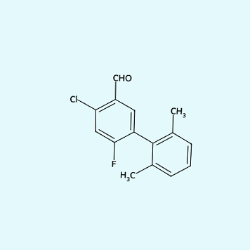 Cc1cccc(C)c1-c1cc(C=O)c(Cl)cc1F